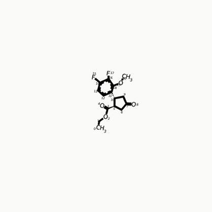 CCOC(=O)[C@@H]1CC(=O)C[C@H]1c1ccc(F)c(F)c1OC